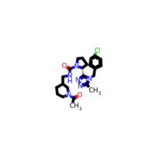 CC(=O)N1CCCC(CNC(=O)N2CCC[C@@H]2c2nnc(C)n2Cc2ccc(Cl)cc2)C1